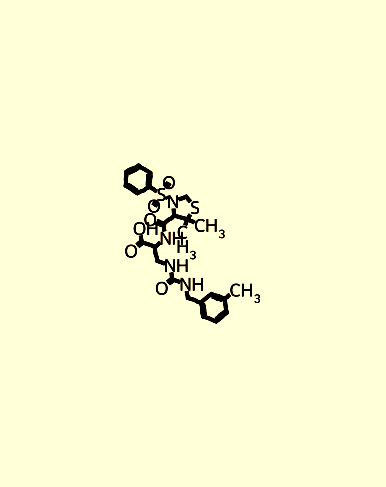 Cc1cccc(CNC(=O)NCC(NC(=O)C2N(S(=O)(=O)c3ccccc3)CSC2(C)C)C(=O)O)c1